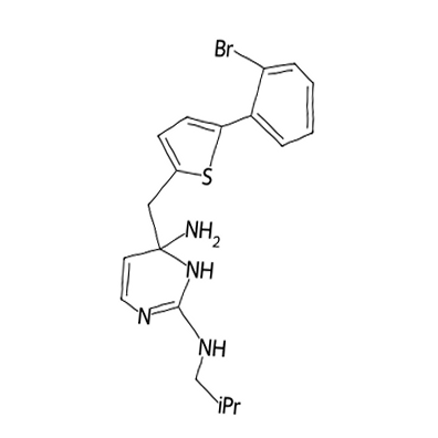 CC(C)CNC1=NC=CC(N)(Cc2ccc(-c3ccccc3Br)s2)N1